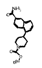 CC(C)(C)OC(=O)N1CCC(c2cccc3cc(C(N)=O)ccc23)CC1